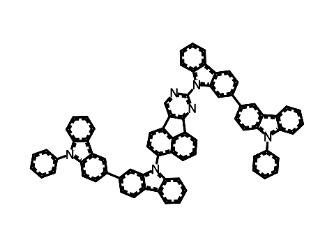 c1ccc(-n2c3ccccc3c3cc(-c4ccc5c6ccccc6n(-c6ncc7c(n6)-c6cccc8c(-n9c%10ccccc%10c%10ccc(-c%11ccc%12c(c%11)c%11ccccc%11n%12-c%11ccccc%11)cc%109)ccc-7c68)c5c4)ccc32)cc1